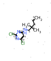 C=CCC(C)(C)CNc1cc(Cl)nc(Cl)n1